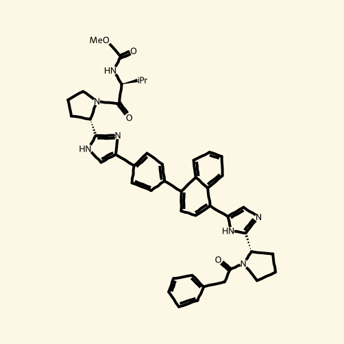 COC(=O)N[C@H](C(=O)N1CCC[C@H]1c1nc(-c2ccc(-c3ccc(-c4cnc([C@@H]5CCCN5C(=O)Cc5ccccc5)[nH]4)c4ccccc34)cc2)c[nH]1)C(C)C